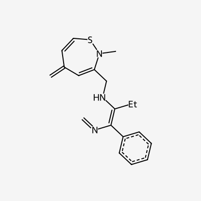 C=N/C(=C(/CC)NCC1=CC(=C)C=CSN1C)c1ccccc1